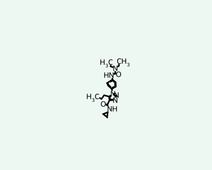 CCCc1c(C(=O)NC2CC2)nnn1-c1ccc(NC(=O)N(CC)CC)cc1